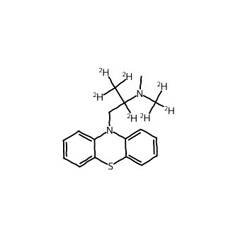 [2H]C([2H])([2H])N(C)C([2H])(CN1c2ccccc2Sc2ccccc21)C([2H])([2H])[2H]